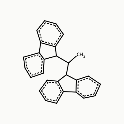 CC(C1c2ccccc2-c2ccccc21)C1c2ccccc2-c2ccccc21